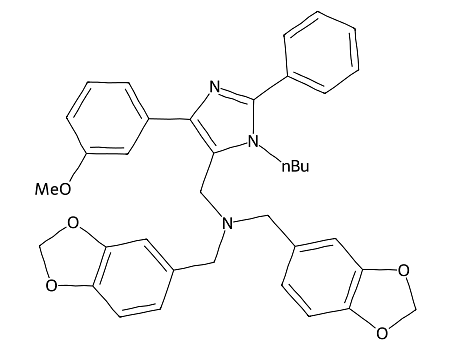 CCCCn1c(-c2ccccc2)nc(-c2cccc(OC)c2)c1CN(Cc1ccc2c(c1)OCO2)Cc1ccc2c(c1)OCO2